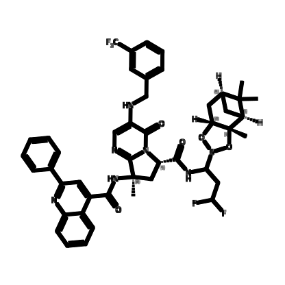 CC1(C)[C@@H]2C[C@H]3OB(C(CC(F)F)NC(=O)[C@@H]4C[C@@](C)(NC(=O)c5cc(-c6ccccc6)nc6ccccc56)c5ncc(NCc6cccc(C(F)(F)F)c6)c(=O)n54)O[C@@]3(C)[C@H]1C2